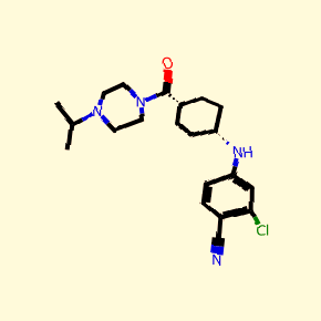 CC(C)N1CCN(C(=O)[C@H]2CC[C@@H](Nc3ccc(C#N)c(Cl)c3)CC2)CC1